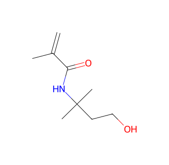 C=C(C)C(=O)NC(C)(C)CCO